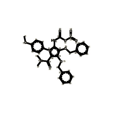 COc1ccc(-n2c(NC(=O)O[SH](=O)=O)c(OCc3ccccc3)c(OCc3ccccc3)c2C(=O)N(C)C)cc1